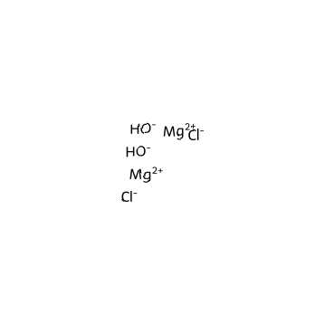 [Cl-].[Cl-].[Mg+2].[Mg+2].[OH-].[OH-]